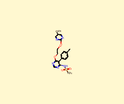 CCCS(=O)(=O)Nc1ncnc(OCCOc2ncc(OC)cn2)c1-c1ccc(C)cc1